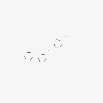 CN(Cc1ccc(COc2ccc(CCC(=O)O)cc2)cc1)c1ccccc1